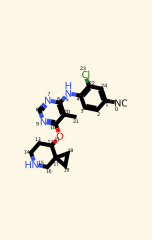 [C-]#[N+]c1ccc(Nc2ncnc(OC3CCNCC34CC4)c2C)c(Cl)c1